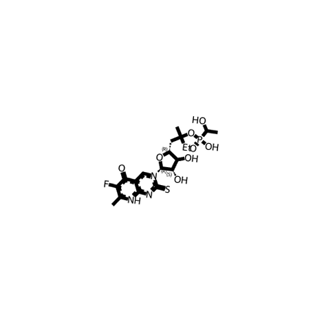 CCC(C)(C[C@H]1O[C@@H](n2cc3c(=O)c(F)c(C)[nH]c3nc2=S)[C@@H](O)C1O)OP(=O)(O)C(C)O